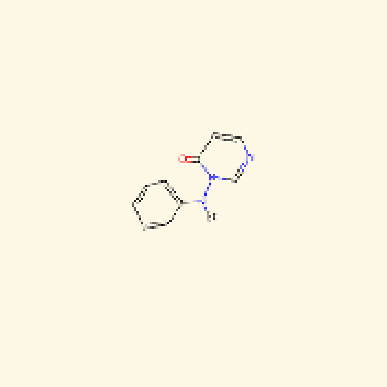 CCN(c1ccccc1)n1cnccc1=O